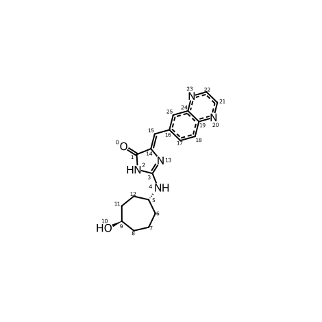 O=C1NC(N[C@@H]2CCC[C@@H](O)CC2)=N/C1=C\c1ccc2nccnc2c1